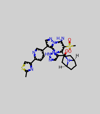 Cc1nc(-c2ccc(-c3cnn4c(N)c(S(C)(=O)=O)c([C@H]5C[C@H]6CC[C@@H](C5)N6C(=O)c5cn[nH]n5)nc34)cn2)cs1